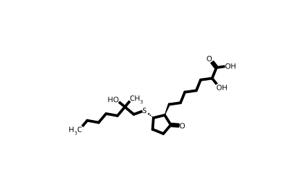 CCCCCC(C)(O)CS[C@H]1CCC(=O)[C@@H]1CCCCCC(O)C(=O)O